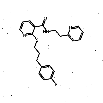 O=C(NCCc1ccccn1)c1cccnc1SCCCc1ccc(F)cc1